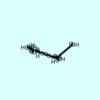 N[C@@H](CC(=O)O)C(=O)N[C@@H](CCC(=O)NCCCOCCOCCOCCCNC(=O)C[C@H](NC(=O)CCCCCCCCCCCCCCC(=O)O)C(=O)O)C(=O)O